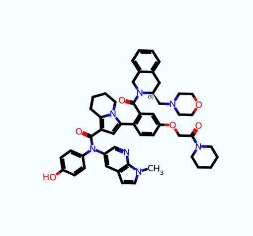 Cn1ccc2cc(N(C(=O)c3cc(-c4ccc(OCC(=O)N5CCCCC5)cc4C(=O)N4Cc5ccccc5C[C@H]4CN4CCOCC4)n4c3CCCC4)c3ccc(O)cc3)cnc21